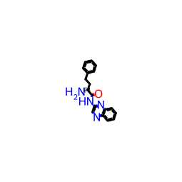 N[C@H](CCc1ccccc1)C(=O)Nc1cnc2ccccc2n1